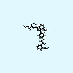 CC=CC(=O)N1CCC[C@@H](n2nc(-c3ccc(CNC(=O)c4ccccc4OC)cc3)c3c(N)ncnc32)C1